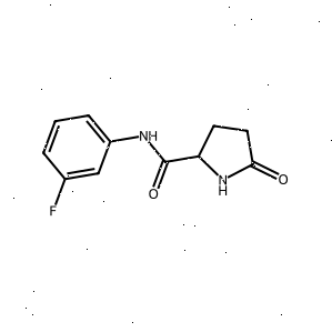 O=C1CCC(C(=O)Nc2cccc(F)c2)N1